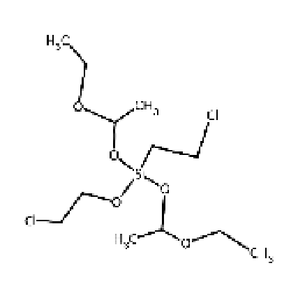 CCOC(C)O[Si](CCCl)(OCCCl)OC(C)OCC